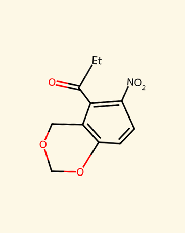 CCC(=O)c1c([N+](=O)[O-])ccc2c1COCO2